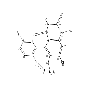 Cn1c(=O)c2c(-c3cc(F)ccc3C#N)c(CN)c(Cl)nc2n(C)c1=O